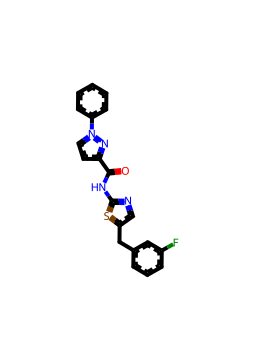 O=C(Nc1ncc(Cc2cccc(F)c2)s1)c1ccn(-c2ccccc2)n1